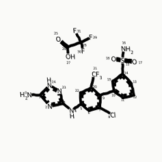 Nc1nc(Nc2cc(Cl)c(-c3cccc(S(N)(=O)=O)c3)c(C(F)(F)F)c2)n[nH]1.O=C(O)C(F)(F)F